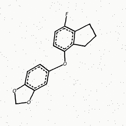 Fc1ccc(Oc2ccc3c(c2)OCO3)c2c1CCC2